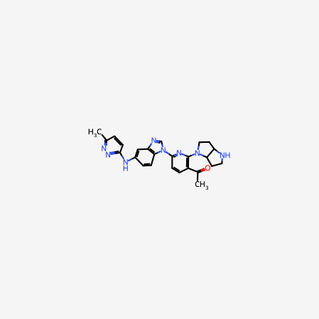 CC(=O)c1ccc(-n2cnc3cc(Nc4ccc(C)nn4)ccc32)nc1N1CCC2NCCC21